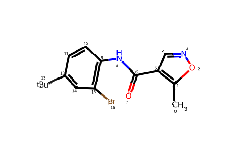 Cc1oncc1C(=O)Nc1ccc(C(C)(C)C)cc1Br